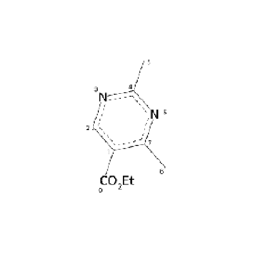 CCOC(=O)c1[c]nc(C)nc1C